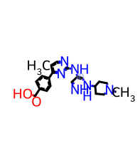 Cc1cnc(N/C(C=N)=C/NC2CCN(C)CC2)nc1-c1ccc(C(=O)O)cc1